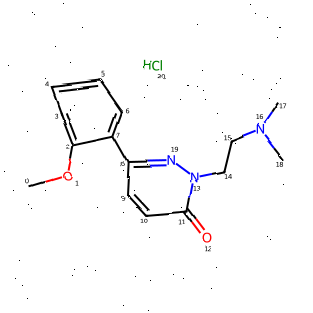 COc1ccccc1-c1ccc(=O)n(CCN(C)C)n1.Cl